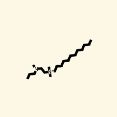 CCCCCCCCCCCC[N+](C)(C)CCN(C)CCC